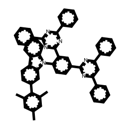 Cc1cc(C)c(-c2ccc3c4ccccc4n(-c4ccc(-c5nc(-c6ccccc6)cc(-c6ccccc6)n5)cc4-c4nc(-c5ccccc5)nc(-c5ccccc5)n4)c3c2)c(C)c1